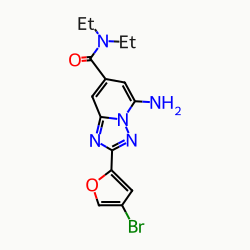 CCN(CC)C(=O)c1cc(N)n2nc(-c3cc(Br)co3)nc2c1